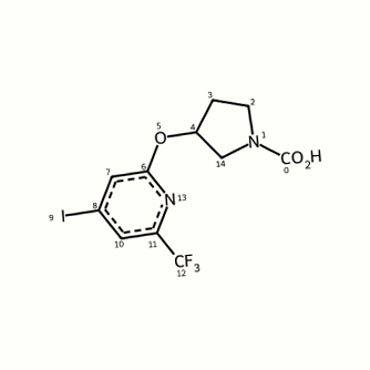 O=C(O)N1CCC(Oc2cc(I)cc(C(F)(F)F)n2)C1